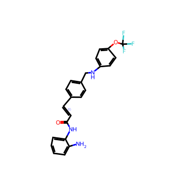 Nc1ccccc1NC(=O)/C=C/c1ccc(CNc2ccc(OC(F)(F)F)cc2)cc1